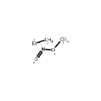 CCC.CON=O